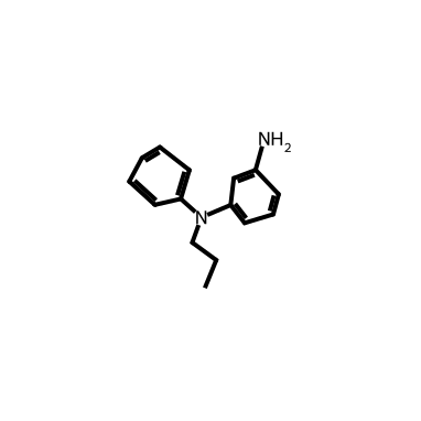 CCCN(c1ccccc1)c1cccc(N)c1